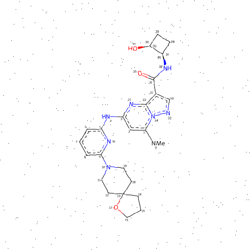 CNc1cc(Nc2cccc(N3CCC4(CCCO4)CC3)n2)nc2c(C(=O)N[C@@H]3CC[C@@H]3O)cnn12